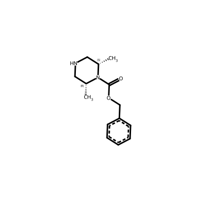 C[C@@H]1CNC[C@H](C)N1C(=O)OCc1ccccc1